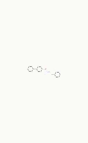 O=C1c2ccc(-c3ccccc3)cc2OCN1CCc1ccccc1F